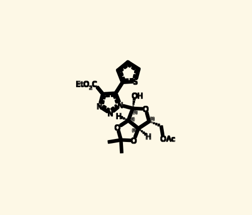 CCOC(=O)c1nnn([C@@]2(O)O[C@H](COC(C)=O)[C@H]3OC(C)(C)O[C@H]32)c1-c1cccs1